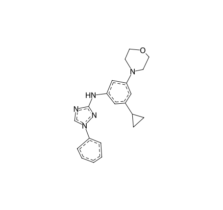 c1ccc(-n2cnc(Nc3cc(C4CC4)cc(N4CCOCC4)c3)n2)cc1